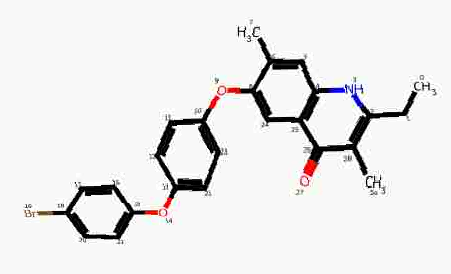 CCc1[nH]c2cc(C)c(Oc3ccc(Oc4ccc(Br)cc4)cc3)cc2c(=O)c1C